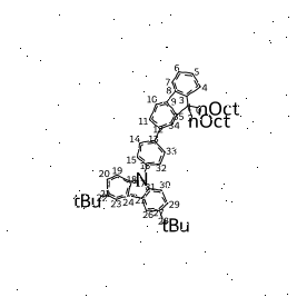 CCCCCCCCC1(CCCCCCCC)c2ccccc2-c2ccc(-c3ccc(-n4c5ccc(C(C)(C)C)cc5c5cc(C(C)(C)C)ccc54)cc3)cc21